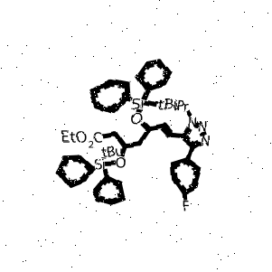 CCOC(=O)CC(CC(C=Cc1c(-c2ccc(F)cc2)nnn1C(C)C)O[Si](c1ccccc1)(c1ccccc1)C(C)(C)C)O[Si](c1ccccc1)(c1ccccc1)C(C)(C)C